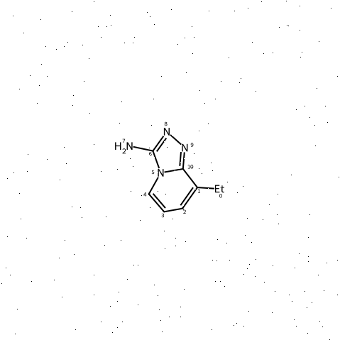 CCc1cccn2c(N)nnc12